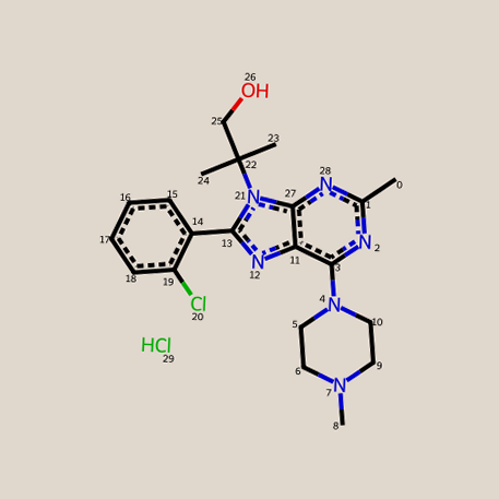 Cc1nc(N2CCN(C)CC2)c2nc(-c3ccccc3Cl)n(C(C)(C)CO)c2n1.Cl